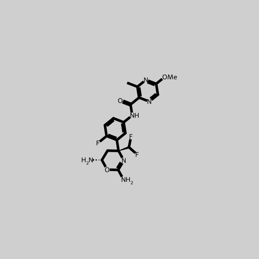 COc1cnc(C(=O)Nc2ccc(F)c([C@@]3(C(F)F)C[C@@H](N)OC(N)=N3)c2)c(C)n1